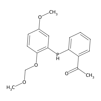 COCOc1ccc(OC)cc1Pc1ccccc1C(C)=O